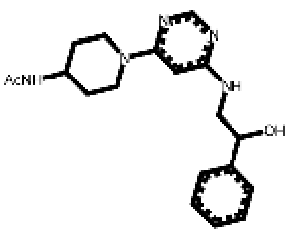 CC(=O)NC1CCN(c2cc(NCC(O)c3ccccc3)ncn2)CC1